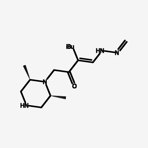 C=NN/C=C(/C(=O)CN1[C@H](C)CNC[C@@H]1C)C(C)CC